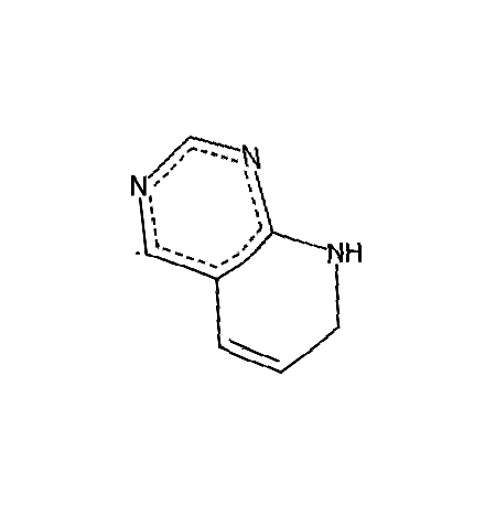 [c]1ncnc2c1C=CCN2